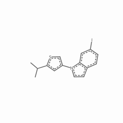 CC(C)c1cc(-n2ccc3ccc(I)cc32)cs1